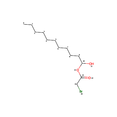 CCCCCCCCCCC(O)OC(=O)CBr